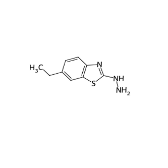 CCc1ccc2nc(NN)sc2c1